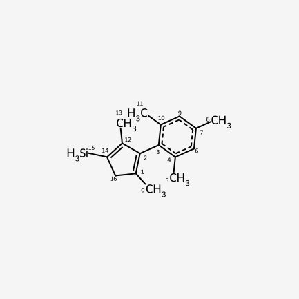 CC1=C(c2c(C)cc(C)cc2C)C(C)=C([SiH3])C1